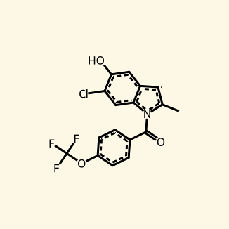 Cc1[c]c2cc(O)c(Cl)cc2n1C(=O)c1ccc(OC(F)(F)F)cc1